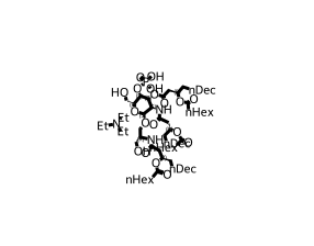 CCCCCCCCCCC[C@H](CC(=O)N[C@H](CO)CO[C@H]1O[C@H](CO)[C@@H](OP(=O)(O)O)[C@H](OC(=O)C[C@@H](CCCCCCCCCCC)OC(=O)CCCCCC)[C@@H]1NC(=O)C[C@@H](CCCCCCCCCCC)OC(=O)CCCCCC)OC(=O)CCCCCC.CCN(CC)CC